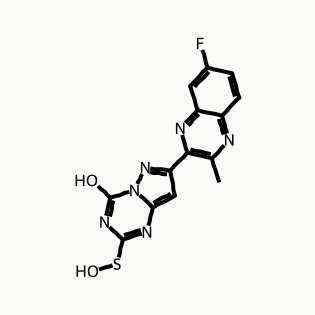 Cc1nc2ccc(F)cc2nc1-c1cc2nc(SO)nc(O)n2n1